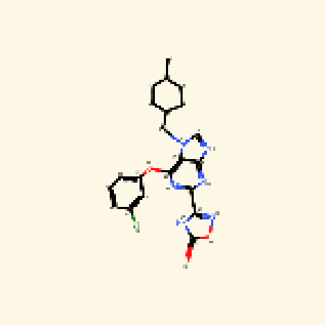 CC1CCC(Cn2cnc3nc(-c4noc(=O)[nH]4)nc(Oc4cccc(Cl)c4)c32)CC1